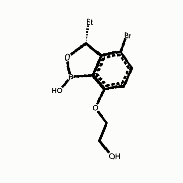 CC[C@H]1OB(O)c2c(OCCO)ccc(Br)c21